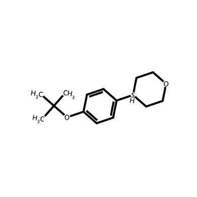 CC(C)(C)Oc1ccc([SH]2CCOCC2)cc1